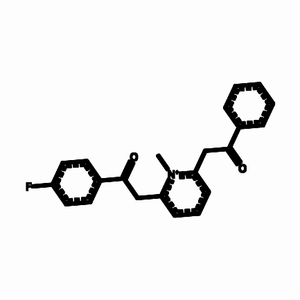 C[n+]1c(CC(=O)c2ccccc2)cccc1CC(=O)c1ccc(F)cc1